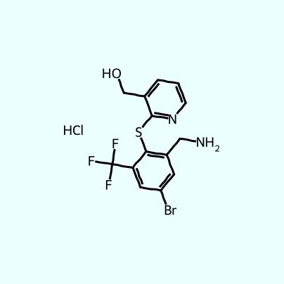 Cl.NCc1cc(Br)cc(C(F)(F)F)c1Sc1ncccc1CO